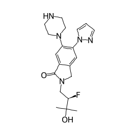 CC(C)(O)[C@H](F)CN1Cc2cc(-n3cccn3)c(N3CCNCC3)cc2C1=O